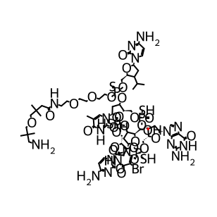 CC1=CN([C@H]2CC(OP(=S)(OCCOCCOCCNC(=O)CC(C)(C)COCC(C)(C)CN)OC[C@H]3O[C@@H](n4ccc(N)nc4=O)CC3C(C)C)[C@@H](COP(=O)(S)OC3C[C@H](n4cnc5c(=O)[nH]c(N)nc54)O[C@@H]3COP(=O)(S)OC3C[C@H](n4ccc(N)nc4=O)O[C@@H]3COP(=O)(S)OC3C[C@H](n4cc(Br)c(=O)[nH]c4=O)O[C@@H]3CO)O2)C(O)NC1=O